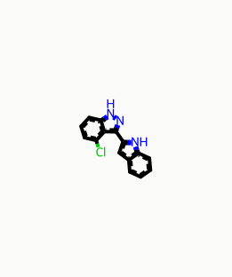 Clc1cccc2[nH]nc(-c3cc4ccccc4[nH]3)c12